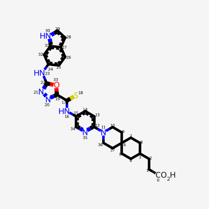 O=C(O)CCC1CCC2(CC1)CCN(c1ccc(NC(=S)c3nnc(Nc4ccc5cc[nH]c5c4)o3)cn1)CC2